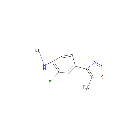 CCNc1ccc(-c2ncsc2C(F)(F)F)cc1F